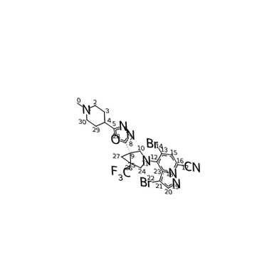 CN1CCC(c2nnc([C@]34CN(c5c(Br)cc(C#N)n6ncc(Br)c56)C[C@@]3(C(F)(F)F)C4)o2)CC1